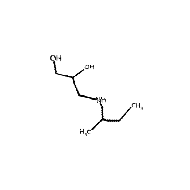 CCC(C)NCC(O)CO